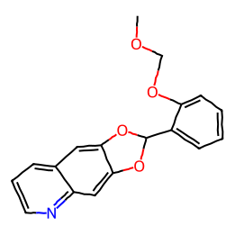 COCOc1ccccc1C1Oc2cc3cccnc3cc2O1